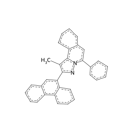 Cc1c(-c2cc3ccccc3c3ccccc23)nn2c(-c3ccccc3)cc3ccccc3c12